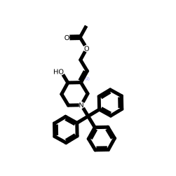 CC(=O)OC/C=C1/CN(C(c2ccccc2)(c2ccccc2)c2ccccc2)CCC1O